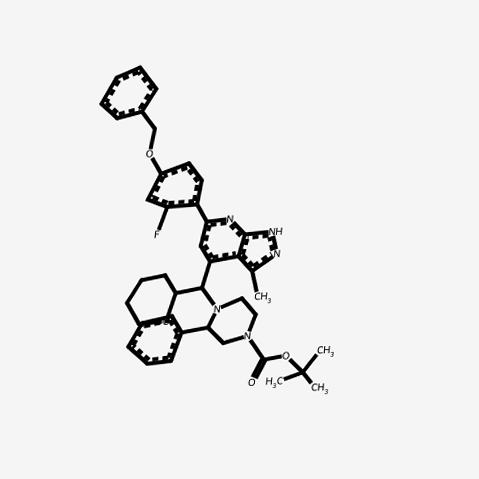 Cc1n[nH]c2nc(-c3ccc(OCc4ccccc4)cc3F)cc(C(C3CCCCO3)N3CCN(C(=O)OC(C)(C)C)CC3c3ccccc3)c12